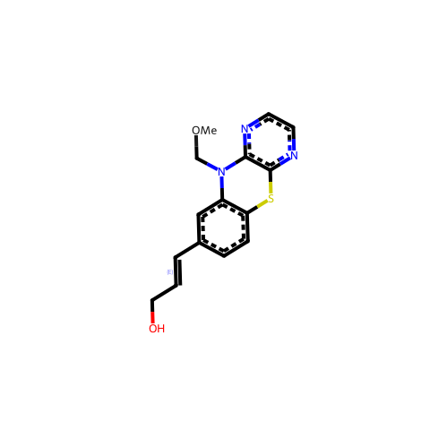 COCN1c2cc(/C=C/CO)ccc2Sc2nccnc21